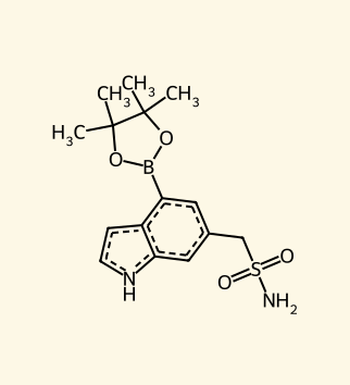 CC1(C)OB(c2cc(CS(N)(=O)=O)cc3[nH]ccc23)OC1(C)C